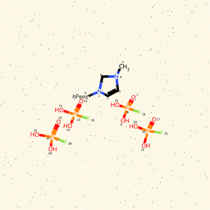 CCCCCN1C=CN(C)C1.O=P(O)(O)F.O=P(O)(O)F.O=P(O)(O)F.O=P(O)(O)F